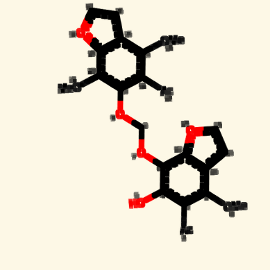 COc1c(C(C)=O)c(O)c(OCOc2c(C(C)=O)c(OC)c3ccoc3c2OC)c2occc12